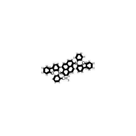 CC1C=CC=CC1N(c1ccc2ccc3c(N(c4ccccc4)c4cccc5c4oc4ccccc45)ccc4ccc1c2c43)c1cccc2c1oc1ccccc12